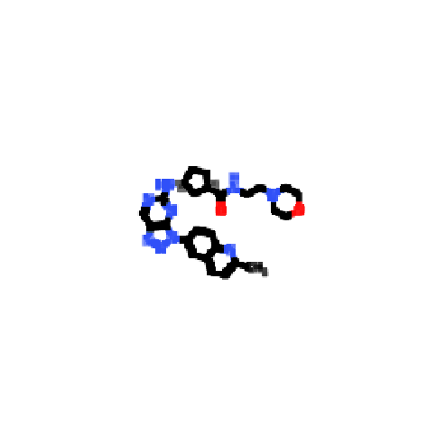 Cc1ccc2cc(-n3nnc4cnc(N[C@@H]5CC[C@@H](C(=O)NCCN6CCOCC6)C5)nc43)ccc2n1